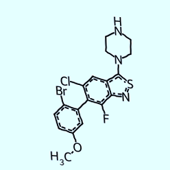 COc1ccc(Br)c(-c2c(Cl)cc3c(N4CCNCC4)snc3c2F)c1